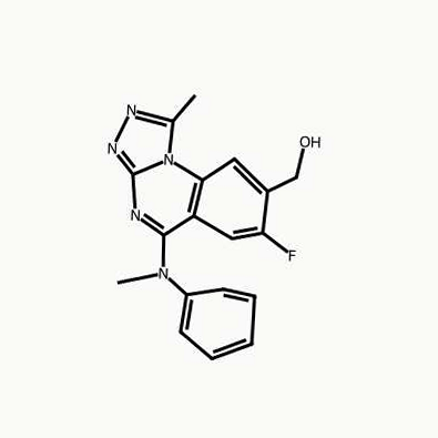 Cc1nnc2nc(N(C)c3ccccc3)c3cc(F)c(CO)cc3n12